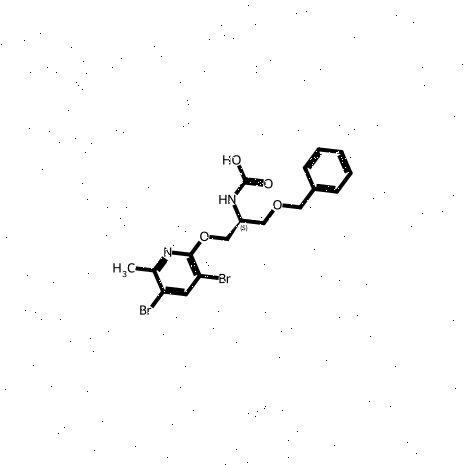 Cc1nc(OC[C@H](COCc2ccccc2)NC(=O)O)c(Br)cc1Br